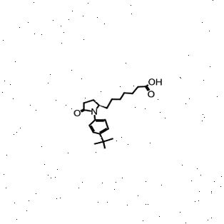 CC(C)(C)c1ccc(N2C(=O)CC[C@H]2CCCCCCC(=O)O)cc1